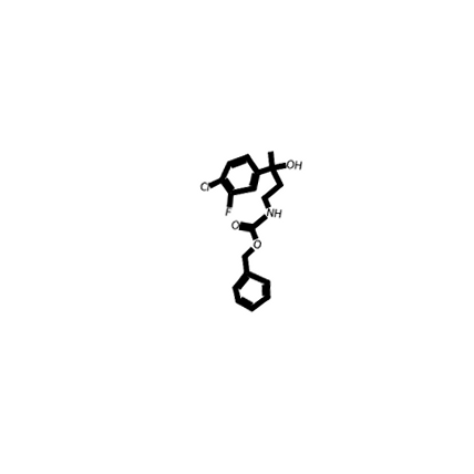 CC(O)(CCNC(=O)OCc1ccccc1)c1ccc(Cl)c(F)c1